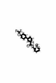 O=C(NCc1cccc[n+]1[O-])c1cccc(-c2ccc(OC(F)F)cc2)c1